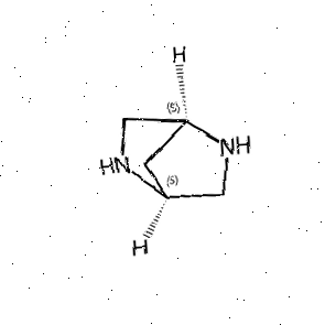 C1N[C@@H]2CN[C@H]1C2